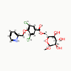 CO[C@@H]1O[C@H](COC(=O)c2cc(Cl)c(OCc3ccccn3)c(Cl)c2)[C@@H](O)[C@H](O)[C@H]1O